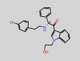 O=C(c1cn(CCO)c2ccccc12)[C@H](NCCc1ccc(Cl)cc1)c1ccccc1